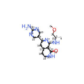 COC[C@H](C)Nc1nc(-c2cnc(N)nc2)cc2cc[nH]c(=O)c12